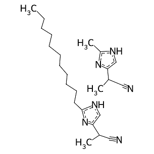 CCCCCCCCCCCc1nc(C(C)C#N)c[nH]1.Cc1nc(C(C)C#N)c[nH]1